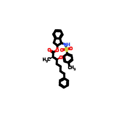 Cc1ccc(S(=O)(=O)NC2c3ccccc3CC2OC(=O)[C@@H](C)[C@@H](O)CCCCc2ccccc2)cc1